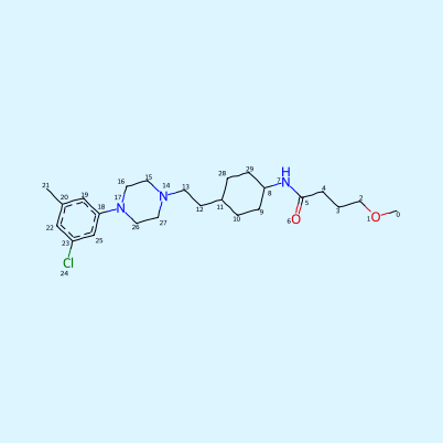 COCCCC(=O)NC1CCC(CCN2CCN(c3cc(C)cc(Cl)c3)CC2)CC1